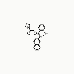 CNC[C@H](c1ccc2ccccc2c1)[C@H](OCC(=O)N1CCC1)c1ccccc1